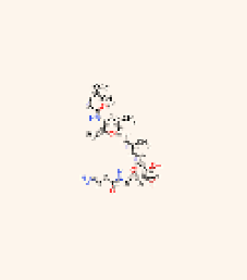 CC(=O)O[C@@H](C)/C=C\C(=O)N[C@@H]1C[C@H](C)[C@H](C/C=C(C)/C=C/[C@H]2O[C@H](CNC(=O)CCN)C[C@@]3(CO3)[C@@H]2O)O[C@@H]1C